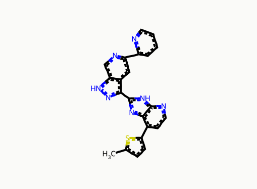 Cc1ccc(-c2ccnc3[nH]c(-c4n[nH]c5cnc(-c6ccccn6)cc45)nc23)s1